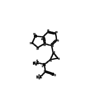 CC(=O)N(C)C1CC1c1cccc2c1CCO2